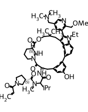 C=CC(=O)N1CC[C@H](C(=O)N(C)C(C(=O)N[C@H]2Cc3cc(O)cc(c3)-c3ccc4c(c3)c(c(-c3cc(CN(C)C)cnc3COC)n4CC)CC(C)(C)COC(=O)[C@@H]3CCCN(N3)C2=O)C(C)C)C1